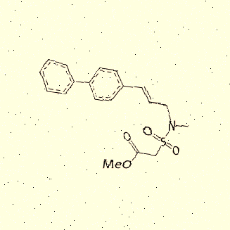 COC(=O)CS(=O)(=O)N(C)CC=Cc1ccc(-c2ccccc2)cc1